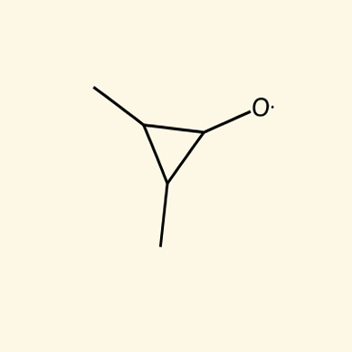 CC1C(C)C1[O]